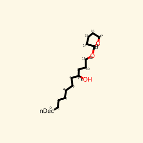 CCCCCCCCCCCCCCCCC(O)CCCOC1CCCCO1